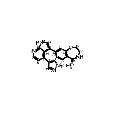 Cn1cc(-c2ccnc3[nH]cc(-c4ccc5c(c4)OCCNC5=O)c23)cn1